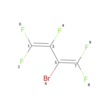 FC(F)=C(F)C(Br)=C(F)F